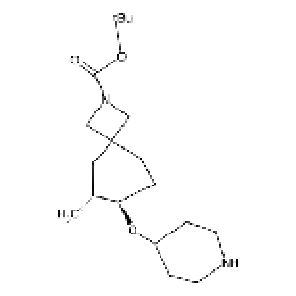 C[C@@H]1CC2(CC[C@H]1OC1CCNCC1)CN(C(=O)OC(C)(C)C)C2